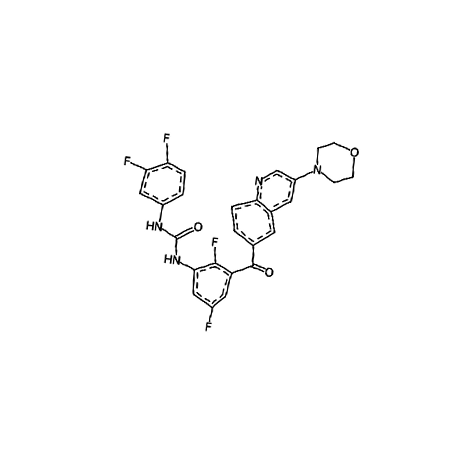 O=C(Nc1ccc(F)c(F)c1)Nc1cc(F)cc(C(=O)c2ccc3ncc(N4CCOCC4)cc3c2)c1F